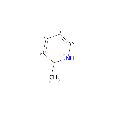 CC1C=CC=CN1